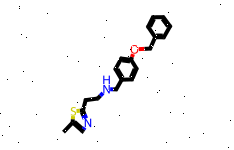 Cc1cnc(CCNCc2ccc(OCc3ccccc3)cc2)s1